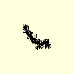 Cc1nsc(Nc2cncc(C(F)(F)F)n2)c1C(=O)Nc1ccc(C(=O)NC2CCN(C(=O)OC(C)(C)C)CC2)cc1